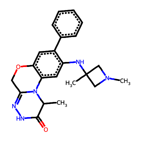 CC1C(=O)NN=C2COc3cc(-c4ccccc4)c(NC4(C)CN(C)C4)cc3N21